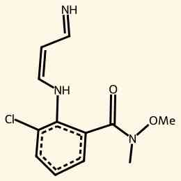 CON(C)C(=O)c1cccc(Cl)c1N/C=C\C=N